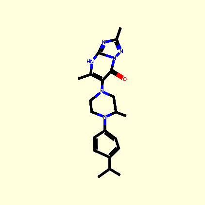 Cc1nc2[nH]c(C)c(N3CCN(c4ccc(C(C)C)cc4)C(C)C3)c(=O)n2n1